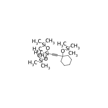 C[Si](C)(C)OC1(C#C[Si](C)(O[Si](C)(C)C)O[Si](C)(C)C)CCCCC1